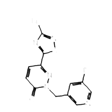 O=c1ccc(-c2nc(Br)ns2)nn1Cc1cncc(F)c1